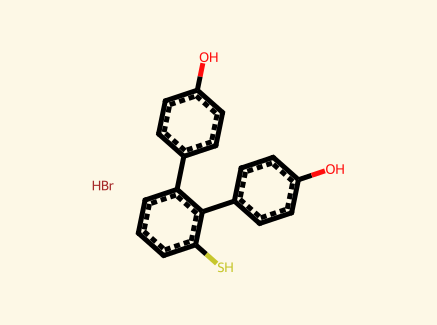 Br.Oc1ccc(-c2cccc(S)c2-c2ccc(O)cc2)cc1